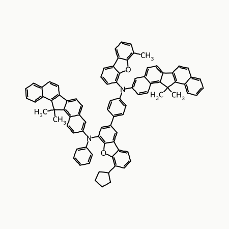 Cc1cccc2c1oc1c(N(c3ccc(-c4cc(N(c5ccccc5)c5ccc6c7c(ccc6c5)-c5ccc6ccccc6c5C7(C)C)c5oc6c(C7CCCC7)cccc6c5c4)cc3)c3ccc4c5c(ccc4c3)-c3ccc4ccccc4c3C5(C)C)cccc12